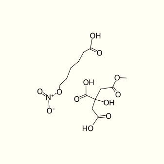 COC(=O)CC(O)(CC(=O)O)C(=O)O.O=C(O)CCCCCO[N+](=O)[O-]